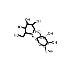 CO[C@H]1O[C@H](CN2CC(O)C(O)C(O)C2CO)[C@@H](O)[C@H](O)[C@H]1O